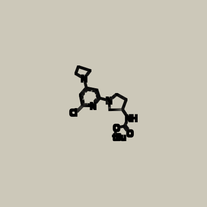 CC(C)(C)OC(=O)NC1CCN(c2cc(N3CCC3)cc(Cl)n2)C1